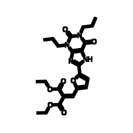 CCCn1c(=O)c2[nH]c(-c3ccc(C=C(C(=O)OCC)C(=O)OCC)o3)nc2n(CCC)c1=O